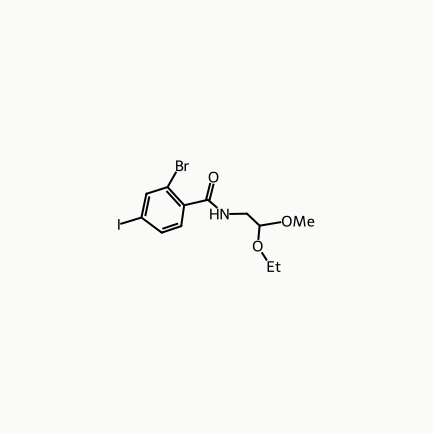 CCOC(CNC(=O)c1ccc(I)cc1Br)OC